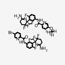 NC1=N[C@](CF)(c2cc(NC(=O)c3ccc(Br)cn3)ccc2F)C(F)(F)CC1.[2H]C([2H])([2H])Oc1ccc(C(=O)Nc2ccc(F)c([C@@]3(CF)N=C(N)CCC3(F)F)c2)nc1